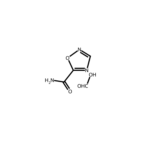 NC(=O)c1ncno1.O=CO